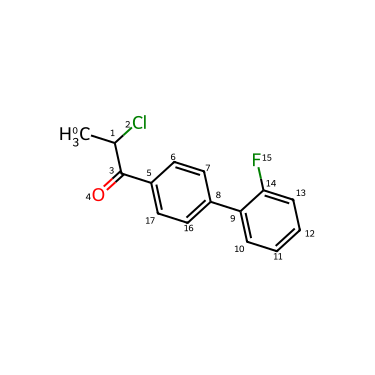 CC(Cl)C(=O)c1ccc(-c2ccccc2F)cc1